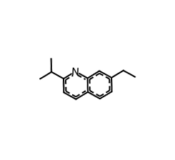 CCc1ccc2ccc(C(C)C)nc2c1